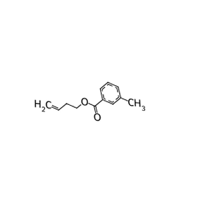 C=CCCOC(=O)c1cccc(C)c1